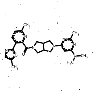 Cc1ccc(-c2ncc(C)o2)c(C(=O)N2CC3CN(c4cc(N(C)C)nc(C)n4)CC3C2)n1